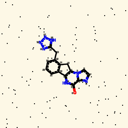 O=c1[nH]c2c(n3ccnc13)Cc1c(Cc3nnn[nH]3)cccc1-2